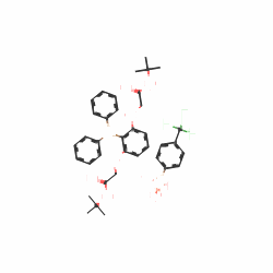 CC(C)(C)OC(=O)COc1cccc(OCC(=O)OC(C)(C)C)c1[S+](c1ccccc1)c1ccccc1.O=S(=O)([O-])c1ccc(C(F)(F)F)cc1